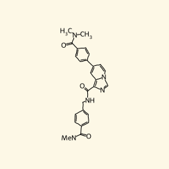 CNC(=O)c1ccc(CNC(=O)c2ncn3ccc(-c4ccc(C(=O)N(C)C)cc4)cc23)cc1